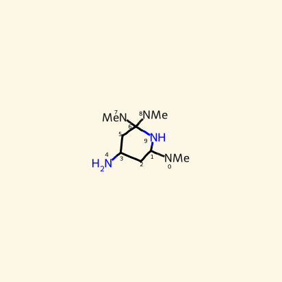 CNC1CC(N)CC(NC)(NC)N1